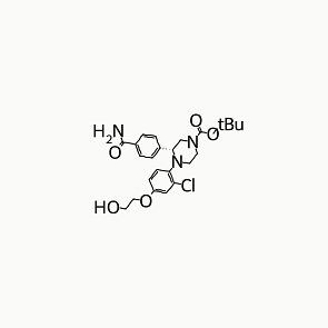 CC(C)(C)OC(=O)N1CCN(c2ccc(OCCO)cc2Cl)[C@H](c2ccc(C(N)=O)cc2)C1